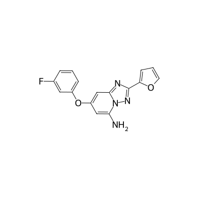 Nc1cc(Oc2cccc(F)c2)cc2nc(-c3ccco3)nn12